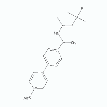 CSc1ccc(-c2ccc(C(NC(C)CC(C)(C)F)C(F)(F)F)cc2)cc1